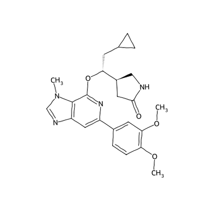 COc1ccc(-c2cc3ncn(C)c3c(O[C@H](CC3CC3)[C@H]3CNC(=O)C3)n2)cc1OC